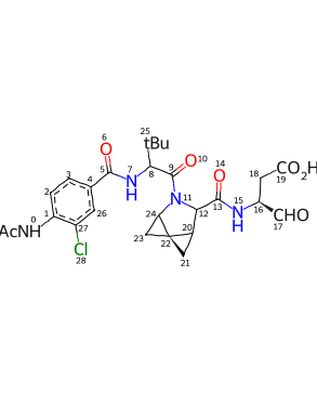 CC(=O)Nc1ccc(C(=O)NC(C(=O)N2C(C(=O)N[C@H](C=O)CC(=O)O)C3C[C@]34CC24)C(C)(C)C)cc1Cl